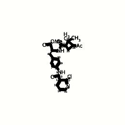 COC(=O)[C@H](Cc1ccc(NC(=O)c2cccnc2Cl)cc1)NC(=O)C1CC(C(C)=O)C1(C)C